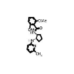 COc1cccc(OC)c1C(=O)N[C@H]1CCC[C@@H]1Nc1cccc(C)n1